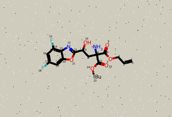 C=CCOC(=O)C(N)(CC(O)c1nc2c(F)cc(F)cc2o1)C(=O)OC(C)(C)C